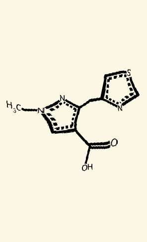 Cn1cc(C(=O)O)c(-c2cscn2)n1